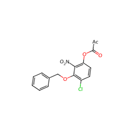 CC(=O)C(=O)Oc1ccc(Cl)c(OCc2ccccc2)c1[N+](=O)[O-]